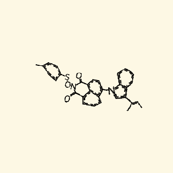 C/C=C(\C)c1cn(-c2ccc3c4c(cccc24)C(=O)N(OSc2ccc(C)cc2)C3=O)c2ccccc12